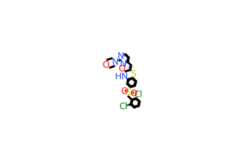 O=C1Nc2cc(S(=O)(=O)Cc3c(Cl)cccc3Cl)ccc2S/C1=C/c1ccnc(N2CCOCC2)n1